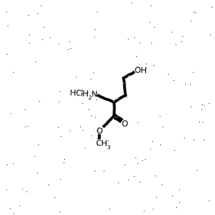 COC(=O)C(N)CCO.Cl